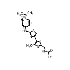 C#C/C=C(\C=C/CN(C)C)Nc1nc(-c2sc(CNC(=O)CC)nc2C)cs1